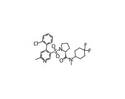 Cc1cc(-c2ccccc2Cl)c(S(=O)(=O)N2CCC[C@H]2C(=O)N(C)C2CCC(F)(F)CC2)cn1